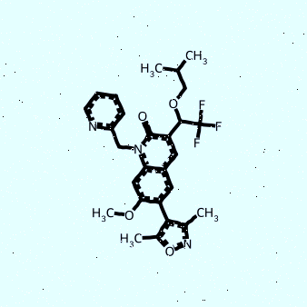 COc1cc2c(cc1-c1c(C)noc1C)cc(C(OCC(C)C)C(F)(F)F)c(=O)n2Cc1ccccn1